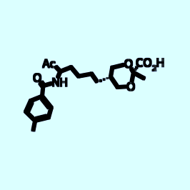 CC(=O)C(CCCC[C@H]1CO[C@@](C)(C(=O)O)OC1)NC(=O)c1ccc(C)cc1